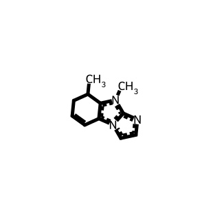 CC1CC=Cc2c1n(C)c1nccn21